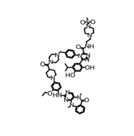 CCOc1cc(N2CCC(C(=O)N3CCN(Cc4ccc(-n5c(C(=O)NCCN6CCN(S(C)(=O)=O)CC6)nnc5-c5cc(C(C)C)c(O)cc5O)cc4)CC3)CC2)ccc1Nc1ncc2c(n1)N(C)c1ccccc1C(=O)N2C